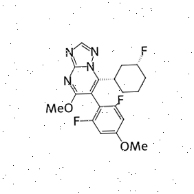 COc1cc(F)c(-c2c(OC)nc3ncnn3c2[C@H]2CCC[C@@H](F)C2)c(F)c1